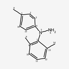 Cc1ccc(N(N)c2c(C)cccc2C)cc1